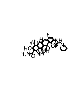 CN(C)[C@@H]1C(O)=C(C(N)=O)C(=N)[C@@]2(O)C(O)=C3C(=O)c4c(O)c(NC(=O)CN5CCCCC5)cc(F)c4C[C@H]3C[C@@H]12